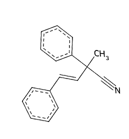 CC(C#N)(C=Cc1ccccc1)c1ccccc1